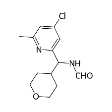 Cc1cc(Cl)cc(C(NC=O)C2CCOCC2)n1